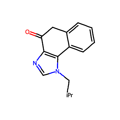 CC(C)Cn1cnc2c1-c1ccccc1CC2=O